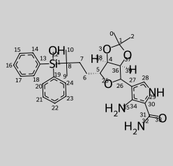 CC1(C)O[C@@H]2[C@@H](CCC(C)(C)[Si](O)(c3ccccc3)c3ccccc3)OC(c3c[nH]c(C(N)=O)c3N)[C@@H]2O1